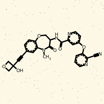 CN1C(=O)C(NC(=O)c2cc(Oc3cccnc3C#N)ccn2)COc2ccc(C#CC3(O)COC3)cc21